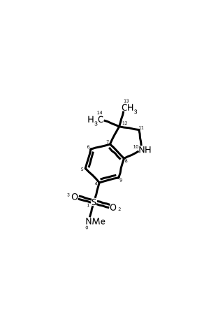 CNS(=O)(=O)c1ccc2c(c1)NCC2(C)C